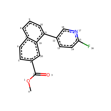 COC(=O)c1ccc2cccc(-c3ccc(F)nc3)c2c1